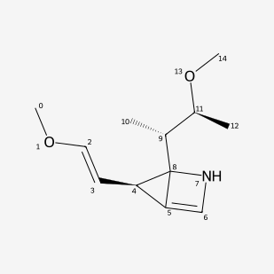 CO/C=C/[C@@H]1C2=CNC21[C@H](C)[C@H](C)OC